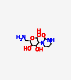 NC[C@H]1OC(O)[C@H](N2CCCNC2=O)[C@@H](O)[C@H]1O